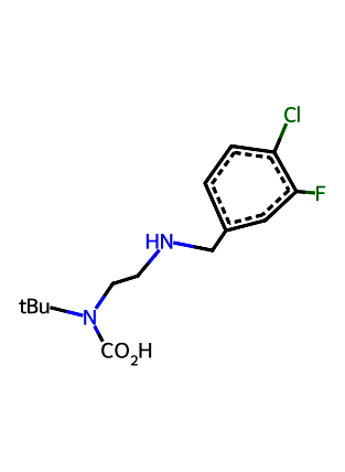 CC(C)(C)N(CCNCc1ccc(Cl)c(F)c1)C(=O)O